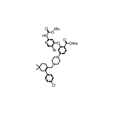 COC(=O)c1ccc(N2CCN(CC3=C(c4ccc(Cl)cc4)CC(C)(C)CC3)CC2)cc1Oc1cc(NC(=O)OC(C)(C)C)ncc1Br